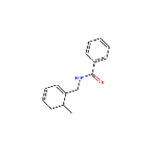 CC1CC=CC=C1CNC(=O)c1ccccc1